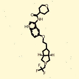 O=C(Nc1c[nH]c2ccc(OCCC3C[C@@H]4CN(CC(F)(F)F)C[C@@H]4C3)cc12)C1CCOCC1